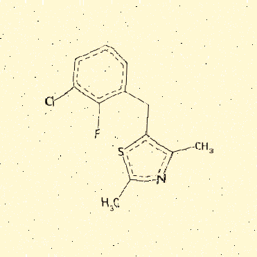 Cc1nc(C)c(Cc2cccc(Cl)c2F)s1